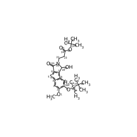 COc1cc2sc3c(c2cc1O[Si](C)(C)C(C)(C)C)C(O)N(CCC(=O)OC(C)(C)C)C3=O